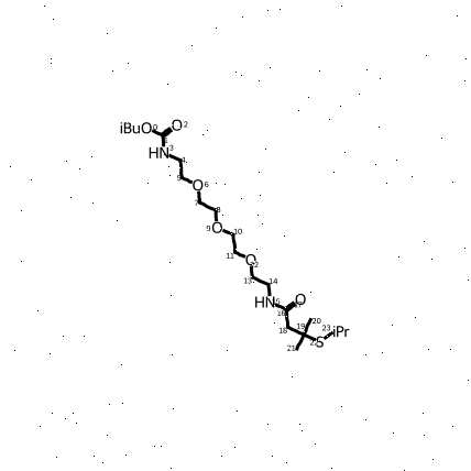 CC(C)COC(=O)NCCOCCOCCOCCNC(=O)CC(C)(C)SC(C)C